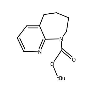 CC(C)(C)OC(=O)N1CCCCc2cccnc21